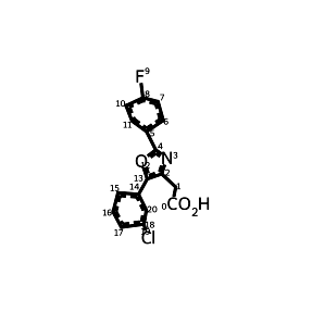 O=C(O)Cc1nc(-c2ccc(F)cc2)oc1-c1cccc(Cl)c1